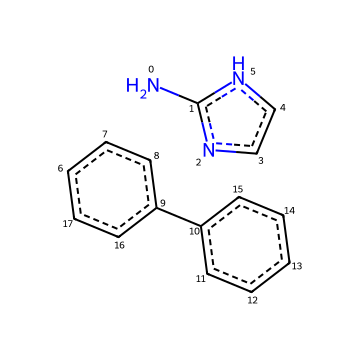 Nc1ncc[nH]1.c1ccc(-c2ccccc2)cc1